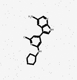 Nc1cnc2[nH]cc(-c3cc(Cl)nc(NC4CCCCC4)c3)c2c1